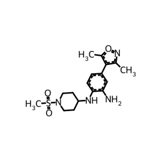 Cc1noc(C)c1-c1ccc(NC2CCN(S(C)(=O)=O)CC2)c(N)c1